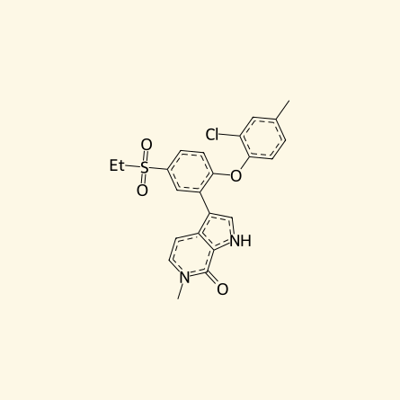 CCS(=O)(=O)c1ccc(Oc2ccc(C)cc2Cl)c(-c2c[nH]c3c(=O)n(C)ccc23)c1